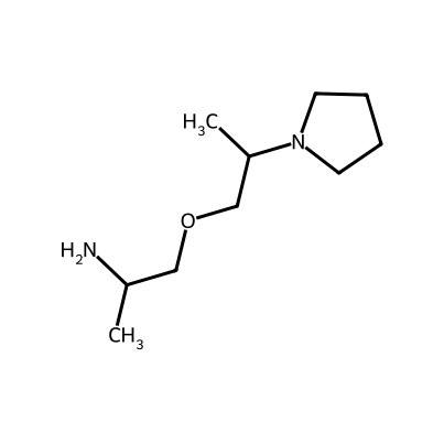 CC(N)COCC(C)N1CCCC1